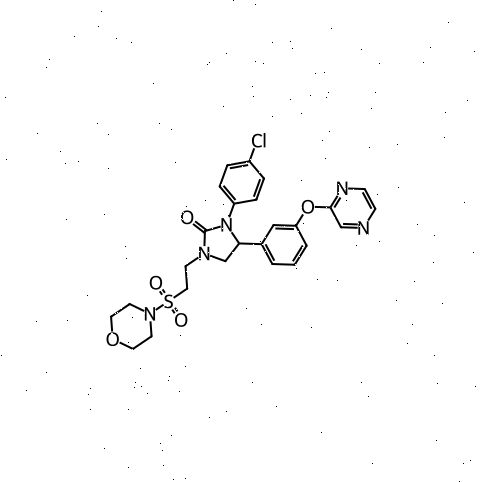 O=C1N(CCS(=O)(=O)N2CCOCC2)CC(c2cccc(Oc3cnccn3)c2)N1c1ccc(Cl)cc1